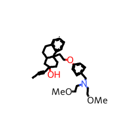 CC#CC1(O)CCC2(CCOc3ccc(CN(CCOC)CCOC)cc3)c3cc[c]cc3CCC2C1